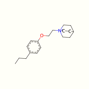 CCCc1ccc(OCC[N+]23CCC(CC2)CC3)cc1